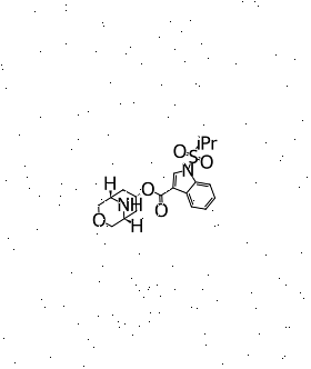 CC(C)S(=O)(=O)n1cc(C(=O)O[C@H]2C[C@H]3COC[C@@H](C2)N3)c2ccccc21